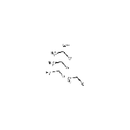 CC[O-].CC[O-].CC[O-].CC[O-].[W+4]